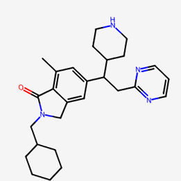 Cc1cc(C(Cc2ncccn2)C2CCNCC2)cc2c1C(=O)N(CC1CCCCC1)C2